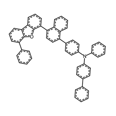 c1ccc(-c2ccc(N(c3ccccc3)c3ccc(-c4ccc(-c5cccc6c5oc5c(-c7ccccc7)cccc56)c5ccccc45)cc3)cc2)cc1